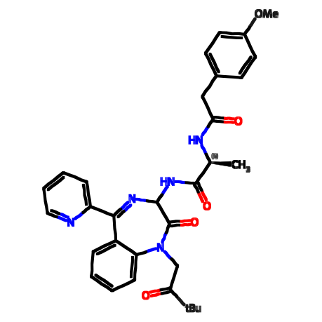 COc1ccc(CC(=O)N[C@@H](C)C(=O)NC2N=C(c3ccccn3)c3ccccc3N(CC(=O)C(C)(C)C)C2=O)cc1